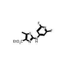 CCOC(=O)c1nc(Nc2cc(F)nc(F)c2)sc1C